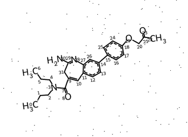 CCCN(CCC)C(=O)C1=Cc2ccc(-c3ccc(OCC(C)=O)cc3)cc2N=C(N)C1